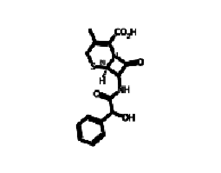 CC1=C(C(=O)O)N2C(=O)C(NC(=O)C(O)c3ccccc3)[C@H]2SC1